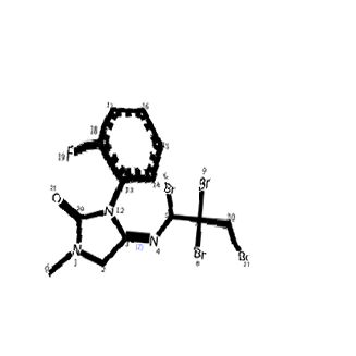 CN1C/C(=N/C(Br)C(Br)(Br)CBr)N(c2ccccc2F)C1=O